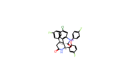 O=C1C[C@@H](c2cccc(F)c2)[C@]2(C(=O)Nc3cc(Cl)ccc32)[C@@H](c2cc(F)ccc2Oc2ccc(F)cc2)N1